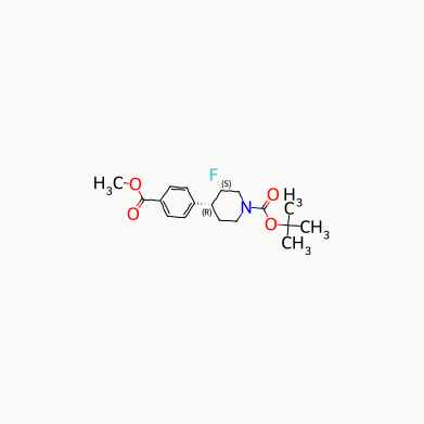 COC(=O)c1ccc([C@H]2CCN(C(=O)OC(C)(C)C)C[C@H]2F)cc1